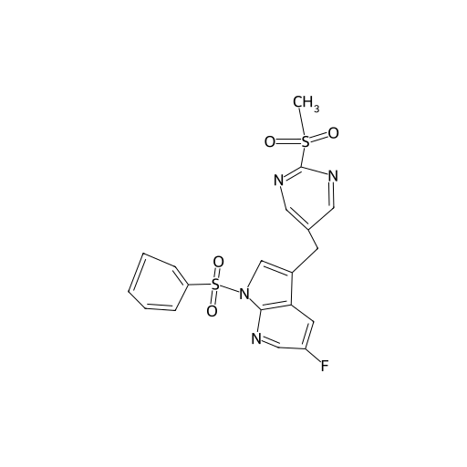 CS(=O)(=O)c1ncc(Cc2cn(S(=O)(=O)c3ccccc3)c3ncc(F)cc23)cn1